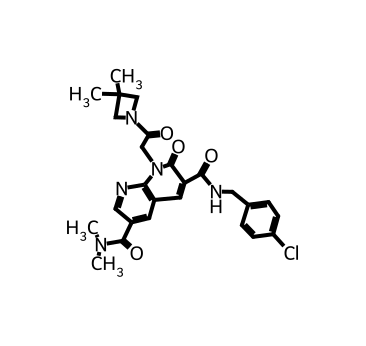 CN(C)C(=O)c1cnc2c(c1)cc(C(=O)NCc1ccc(Cl)cc1)c(=O)n2CC(=O)N1CC(C)(C)C1